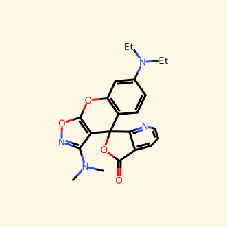 CCN(CC)c1ccc2c(c1)Oc1onc(N(C)C)c1C21OC(=O)c2cccnc21